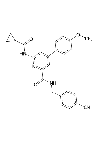 N#Cc1ccc(CNC(=O)c2cc(-c3ccc(OC(F)(F)F)cc3)cc(NC(=O)C3CC3)n2)cc1